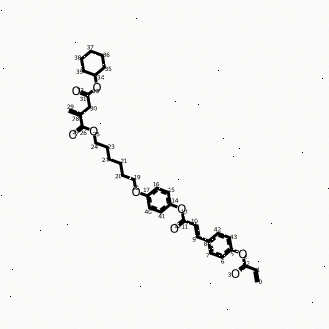 C=CC(=O)Oc1ccc(/C=C/C(=O)Oc2ccc(OCCCCCCOC(=O)C(=C)CC(=O)OC3CCCCC3)cc2)cc1